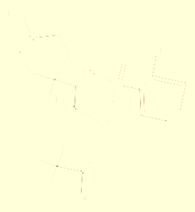 CN1CCC(S)(C(NS(=O)(=O)c2ccccc2Cl)C(=O)O)CC1.O=C(O)C(F)(F)F